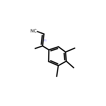 C/C(=C\C#N)c1cc(C)c(C)c(C)c1